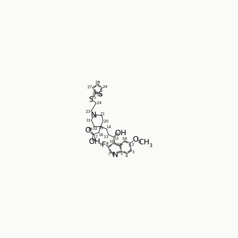 COc1ccc2ncc(F)c([C@H](O)CCC3(CC(=O)O)CCN(CCSc4cccs4)CC3)c2c1